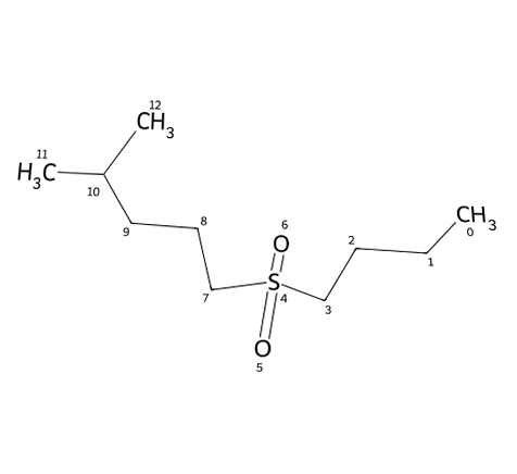 CCCCS(=O)(=O)CCCC(C)C